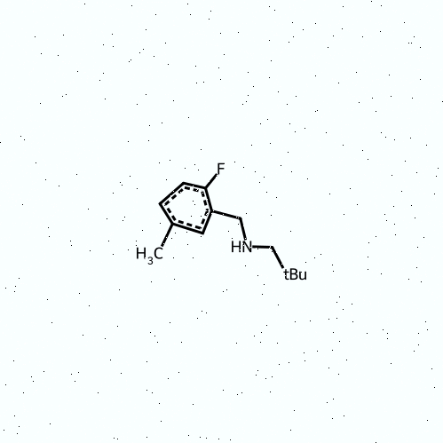 Cc1ccc(F)c(CNCC(C)(C)C)c1